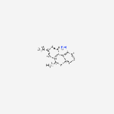 CC(Cc1ccccc1)c1cccc([N+](=O)[O-])c1.N